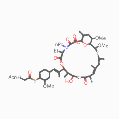 CCCN1C(=O)C(=O)C2(O)OC(C(OC)CC(C)C/C(C)=C/C(CC)C(=O)CC(O)C(C)C(/C(C)=C/C3CCC(SC(=O)CNC(C)=O)C(OC)C3)OC(=O)C1CC)C(OC)CC2C